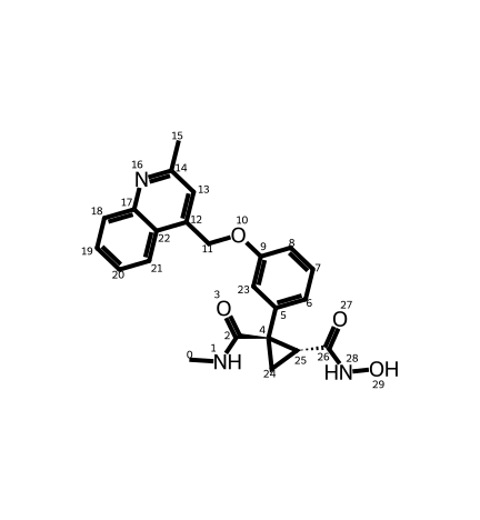 CNC(=O)[C@]1(c2cccc(OCc3cc(C)nc4ccccc34)c2)C[C@H]1C(=O)NO